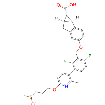 Cc1nc(OCCC[S+](C)[O-])ccc1-c1ccc(F)c(COc2ccc3c(c2)C[C@H]2[C@H](C(=O)O)[C@@H]32)c1F